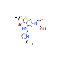 Cc1cccc(CNc2nc(N(CCO)CCO)nc3sc(C)c(Br)c23)n1